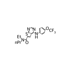 CCCN(CC)C(=O)c1cc2c(Nc3ccc(OC(F)(F)F)cc3)ncnc2s1